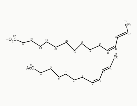 CC/C=C/C=C\CCCCCCOC(C)=O.CCC/C=C/C=C\CCCCCCCCCCC(=O)O